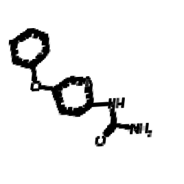 NC(=O)Nc1ccc(Oc2ccccc2)cn1